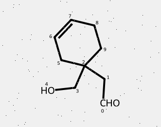 O=CCC1(CO)CC=CCC1